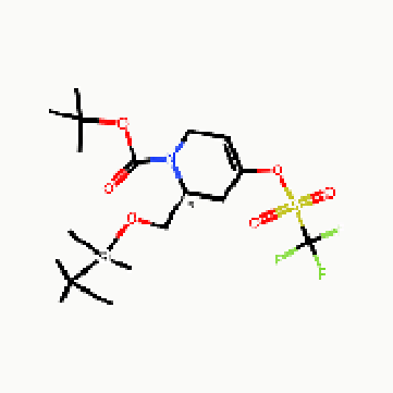 CC(C)(C)OC(=O)N1CC=C(OS(=O)(=O)C(F)(F)F)C[C@H]1CO[Si](C)(C)C(C)(C)C